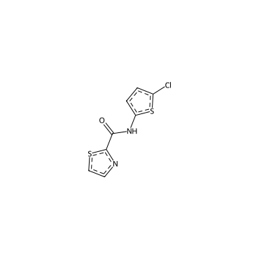 O=C(Nc1ccc(Cl)s1)c1nccs1